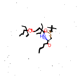 CCCCC(=O)[C@H](CSCC(C)(C)C)NC(=O)C(CC)(CC)CCOC(CC)(CC)CCC